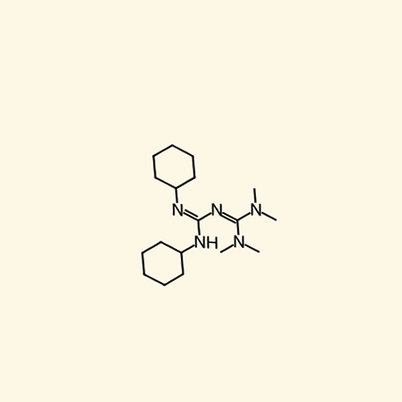 CN(C)C(=N/C(=N\C1CCCCC1)NC1CCCCC1)N(C)C